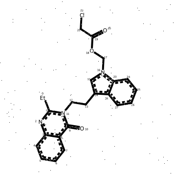 CCc1nc2ccccc2c(=O)n1CCc1cn(COC(=O)CCl)c2ccccc12